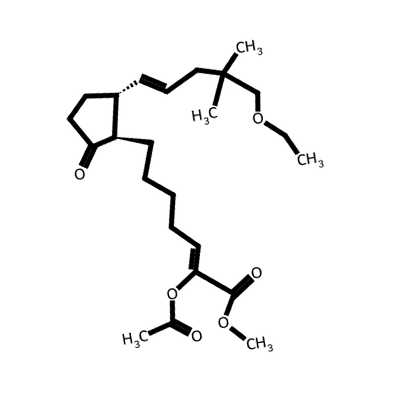 CCOCC(C)(C)CC=C[C@H]1CCC(=O)[C@@H]1CCCCC=C(OC(C)=O)C(=O)OC